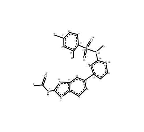 CC(=O)Nc1nc2ccc(-c3ccnc(N(C)S(=O)(=O)c4ccc(C)cc4C)n3)cc2s1